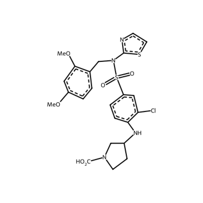 COc1ccc(CN(c2nccs2)S(=O)(=O)c2ccc(NC3CCN(C(=O)O)C3)c(Cl)c2)c(OC)c1